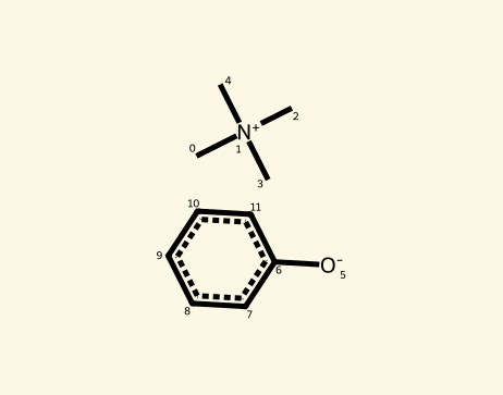 C[N+](C)(C)C.[O-]c1ccccc1